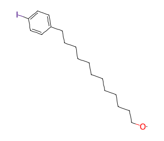 [O]CCCCCCCCCCCCc1ccc(I)cc1